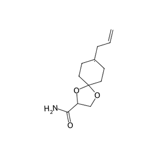 C=CC[C]1CCC2(CC1)OCC(C(N)=O)O2